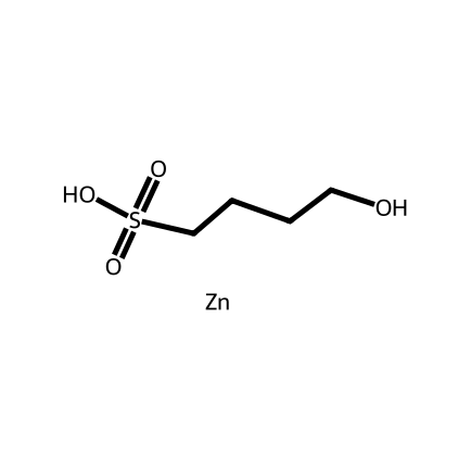 O=S(=O)(O)CCCCO.[Zn]